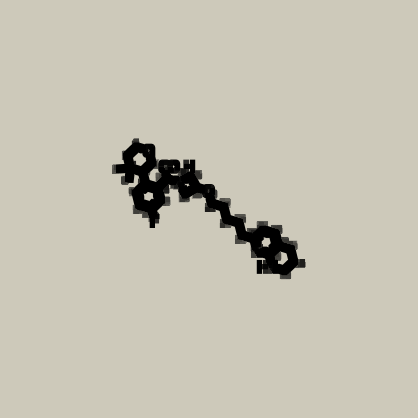 CC1(C)CCOCC1c1ccc(F)cc1C(C(=O)O)N1CC(OCCCCCc2ccc3c(n2)NCCC3)C1